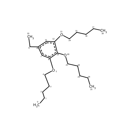 CCCCCOc1cc(CC)cc(OCCCCC)c1OCCCCC